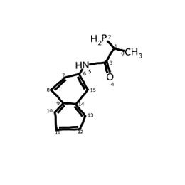 CC(P)C(=O)Nc1ccc2ccccc2c1